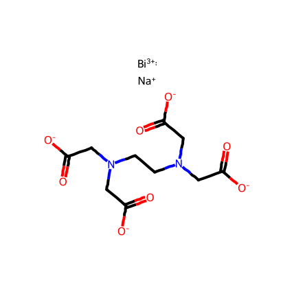 O=C([O-])CN(CCN(CC(=O)[O-])CC(=O)[O-])CC(=O)[O-].[Bi+3].[Na+]